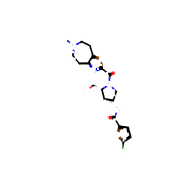 CN1CCc2nc(C(=O)N3C[C@H](NC(=O)c4ccc(Cl)s4)C[C@H]3CO)sc2CC1